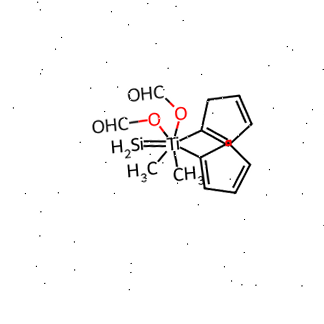 [CH3][Ti]([CH3])(=[SiH2])([O]C=O)([O]C=O)([C]1=CC=CC1)[C]1=CC=CC1